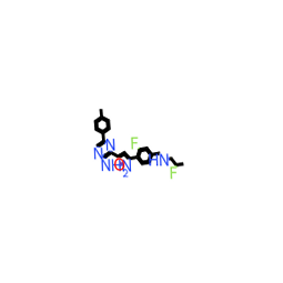 Cc1ccc(-c2cnc(N)c(-c3cc(-c4ccc(CNCC(C)F)cc4F)no3)n2)cc1